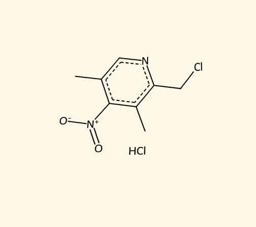 Cc1cnc(CCl)c(C)c1[N+](=O)[O-].Cl